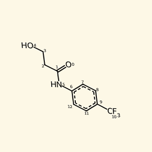 O=C(CCO)Nc1ccc(C(F)(F)F)cc1